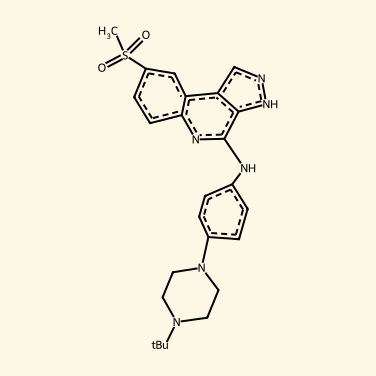 CC(C)(C)N1CCN(c2ccc(Nc3nc4ccc(S(C)(=O)=O)cc4c4cn[nH]c34)cc2)CC1